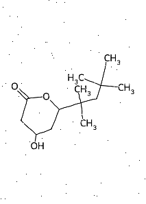 CC(C)(C)CC(C)(C)C1CC(O)CC(=O)O1